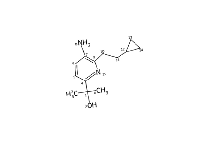 CC(C)(O)c1ccc(N)c(CCC2CC2)n1